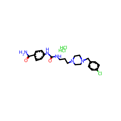 Cl.Cl.NC(=O)c1ccc(NC(=O)NCCCN2CCN(Cc3ccc(Cl)cc3)CC2)cc1